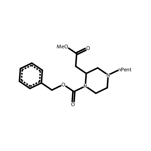 CCCCCN1CCN(C(=O)OCc2ccccc2)C(CC(=O)OC)C1